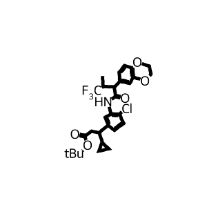 CC(C(C(=O)Nc1cc(C(CC(=O)OC(C)(C)C)C2CC2)ccc1Cl)c1ccc2c(c1)OCCO2)C(F)(F)F